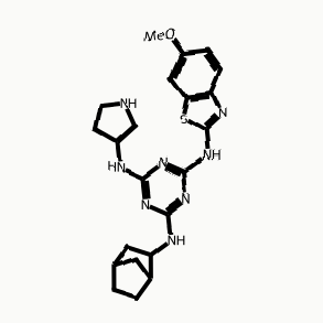 COc1ccc2nc(Nc3nc(NC4CCNC4)nc(NC4CC5CCC4C5)n3)sc2c1